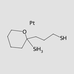 [Pt].[SiH3]C1(CCCS)CCCCO1